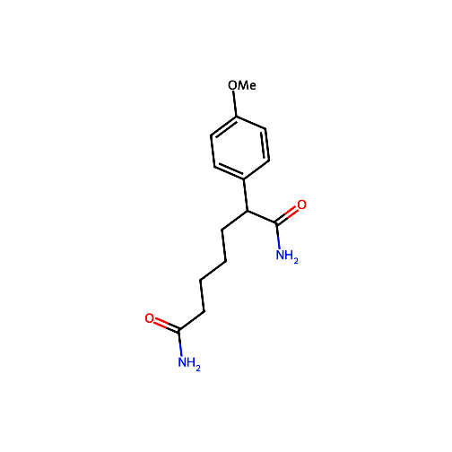 COc1ccc(C(CCCCC(N)=O)C(N)=O)cc1